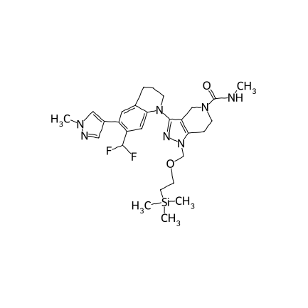 CNC(=O)N1CCc2c(c(N3CCCc4cc(-c5cnn(C)c5)c(C(F)F)cc43)nn2COCC[Si](C)(C)C)C1